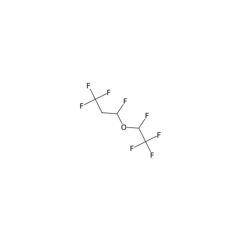 FC(CC(F)(F)F)OC(F)C(F)(F)F